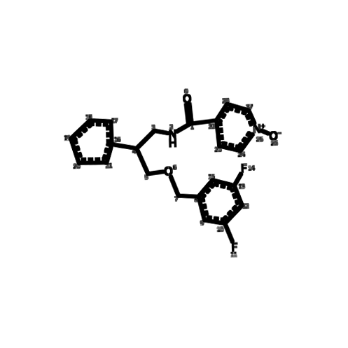 O=C(NCC(COCc1cc(F)cc(F)c1)c1ccccc1)c1cc[n+]([O-])cc1